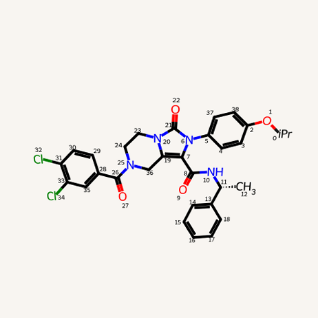 CC(C)Oc1ccc(-n2c(C(=O)N[C@H](C)c3ccccc3)c3n(c2=O)CCN(C(=O)c2ccc(Cl)c(Cl)c2)C3)cc1